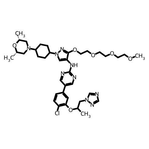 COCCOCCOCCOc1nn(C2CCC(N3C[C@@H](C)O[C@@H](C)C3)CC2)cc1Nc1ncc(-c2ccc(Cl)c(OC(C)Cn3cncn3)c2)cn1